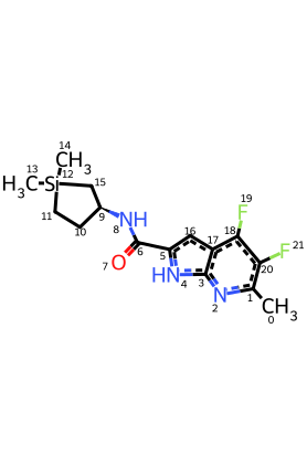 Cc1nc2[nH]c(C(=O)N[C@H]3CC[Si](C)(C)C3)cc2c(F)c1F